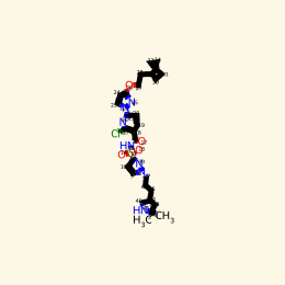 CC1(C)CC(CCCn2ccc(S(=O)(=O)NC(=O)c3ccc(-n4ccc(OCCC5CCC56CC6)n4)nc3Cl)n2)CN1